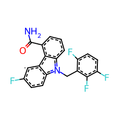 NC(=O)c1cccc2c1c1[c]c(F)ccc1n2Cc1c(F)ccc(F)c1F